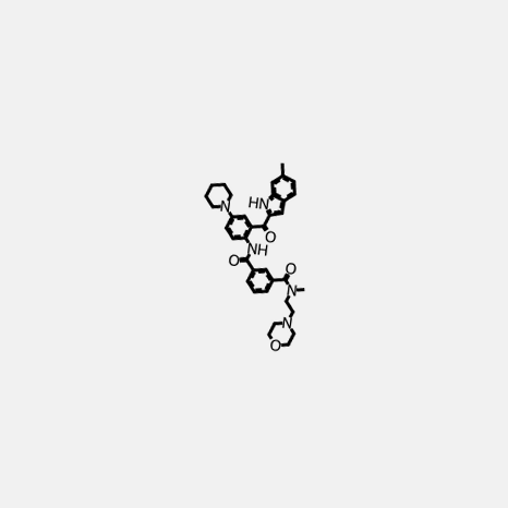 Cc1ccc2cc(C(=O)c3cc(N4CCCCC4)ccc3NC(=O)c3cccc(C(=O)N(C)CCN4CCOCC4)c3)[nH]c2c1